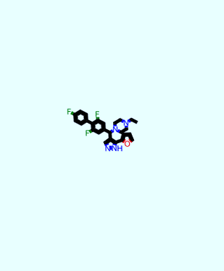 CCN1CCN(C(c2cc(F)c(-c3ccc(F)cc3)c(F)c2)c2cn[nH]c2-c2ccco2)CC1